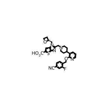 N#Cc1ccc(COc2ncccc2C2CCN(Cc3nc4sc(C(=O)O)cc4n3C[C@@H]3CCO3)CC2)c(F)c1